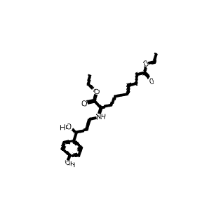 CCOC(=O)CCCCCCC(NCCC(O)c1ccc(O)cc1)C(=O)OCC